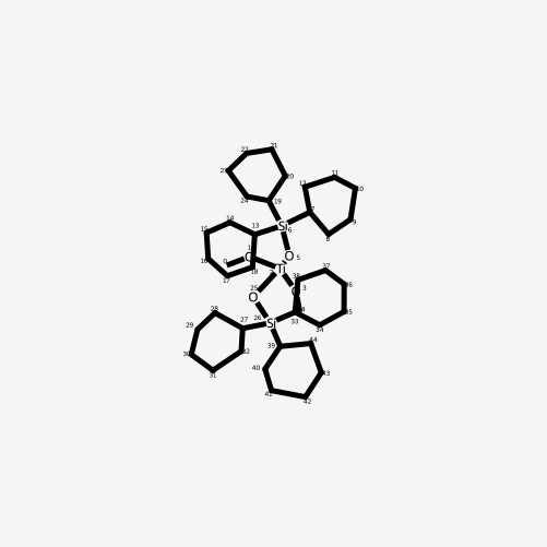 C[O][Ti]([O]C)([O][Si](C1CCCCC1)(C1CCCCC1)C1CCCCC1)[O][Si](C1CCCCC1)(C1CCCCC1)C1CCCCC1